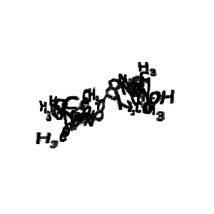 COC[C@H]1C[C@@H](c2nc3ccc4cc(-c5ccc6c(ccc7nc([C@@H]8C[C@H](C)CN8C(=O)C(NC(=O)O)C(C)C)[nH]c76)c5)ccc4c3[nH]2)N(C(=O)C(NC(=O)OC)C(C)OC)C1